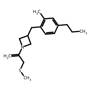 C=C(CSC)N1CC(Cc2ccc(CCC)cc2C)C1